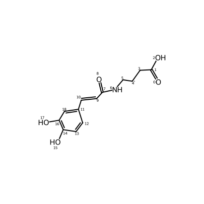 O=C(O)C[CH]CNC(=O)C=Cc1ccc(O)c(O)c1